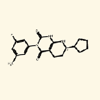 Cc1cc(F)cc(-n2c(=O)[nH]c3c(c2=O)CC[C@H](C2CCCC2)N3)c1